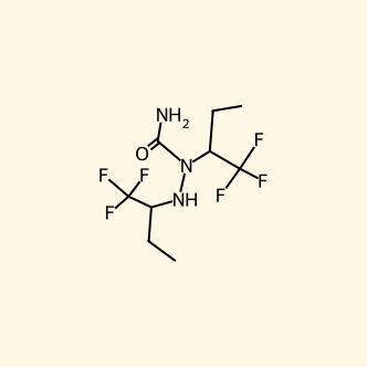 CCC(NN(C(N)=O)C(CC)C(F)(F)F)C(F)(F)F